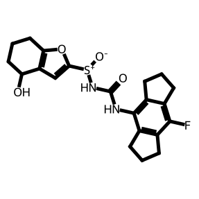 O=C(Nc1c2c(c(F)c3c1CCC3)CCC2)N[S+]([O-])c1cc2c(o1)CCCC2O